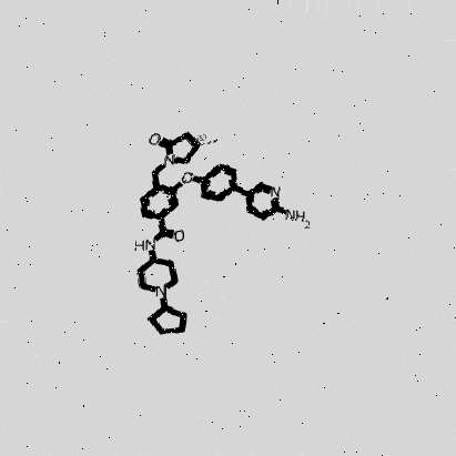 C[C@H]1CC(=O)N(Cc2ccc(C(=O)NC3CCN(C4CCCC4)CC3)cc2Oc2ccc(-c3ccc(N)nc3)cc2)C1